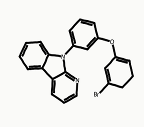 BrC1=CC(Oc2cccc(-n3c4ccccc4c4cccnc43)c2)=CCC1